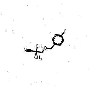 CC(C)(C#N)COCc1ccc(F)cc1